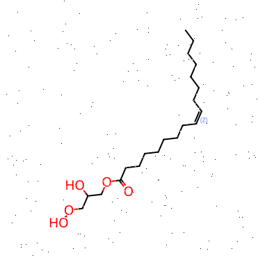 CCCCCCC/C=C\CCCCCCCC(=O)OCC(O)COO